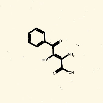 NC(C(=O)O)=C(O)C(=O)c1ccccc1